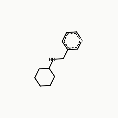 c1cncc(CNC2CCCCC2)c1